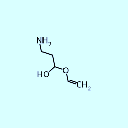 C=COC(O)CCN